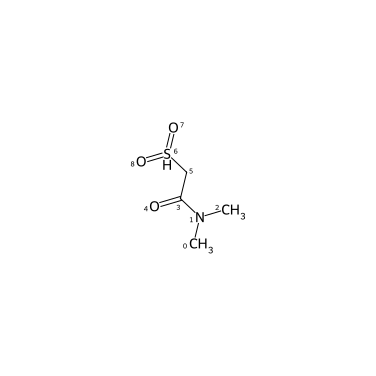 CN(C)C(=O)C[SH](=O)=O